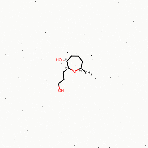 C[C@@H]1CCC[C@@H](O)[C@H](CCCO)O1